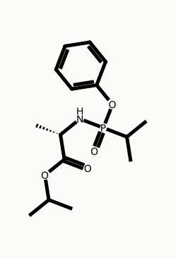 CC(C)OC(=O)[C@H](C)NP(=O)(Oc1ccccc1)C(C)C